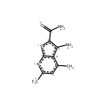 Cc1cc(C(F)(F)F)nc2sc(C(N)=O)c(N)c12